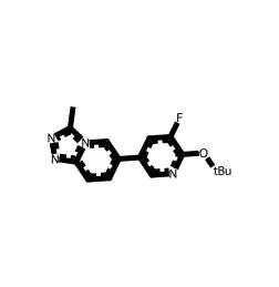 Cc1nnc2ccc(-c3cnc(OC(C)(C)C)c(F)c3)cn12